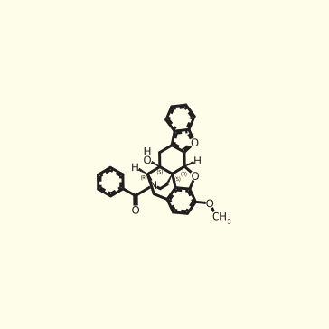 COc1ccc2c3c1O[C@H]1c4oc5ccccc5c4C[C@@]4(O)[C@@H](C2)N(C(=O)c2ccccc2)CC[C@]314